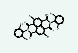 CC(C)c1cccc(C(C)C)c1N1C(=N)c2cc(Br)c3c4c(cc(Br)c(c24)C1=O)C(=O)N(c1c(C(C)C)cccc1C(C)C)C3=O